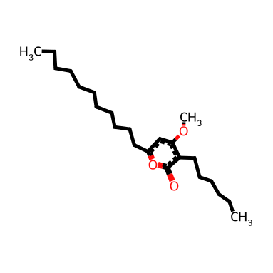 CCCCCCCCCCCc1cc(OC)c(CCCCCC)c(=O)o1